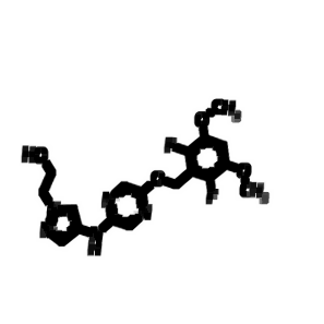 COc1cc(OC)c(F)c(COc2cnc(Nc3cnn(CCO)c3)cn2)c1F